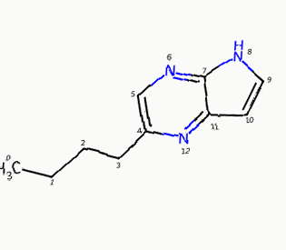 CCCCc1cnc2[nH]ccc2n1